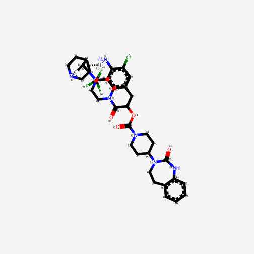 Nc1c(Cl)cc(CC(OC(=O)N2CCC(N3CCc4ccccc4NC3=O)CC2)C(=O)N2CCN([C@H]3CN4CCC3CC4)CC2)cc1C(F)(F)F